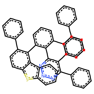 c1ccc(-c2ccccc2-c2cccc(-c3c(-c4ccccc4)ccc4sc5ccccc5c34)c2-c2nnnc(-c3ccccc3)c2-c2ccccc2)cc1